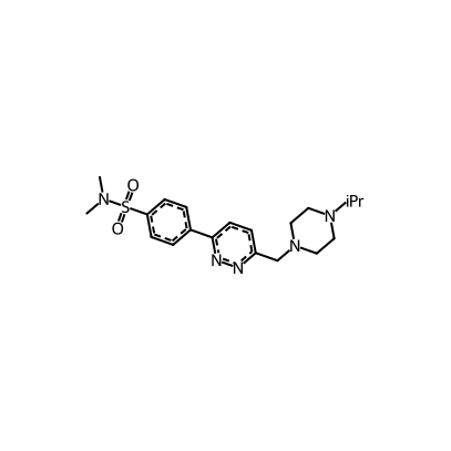 CC(C)N1CCN(Cc2ccc(-c3ccc(S(=O)(=O)N(C)C)cc3)nn2)CC1